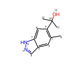 Cc1cc2cn[nH]c2cc1C(C)(C)O